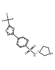 O=S(=O)(N[C@@H]1CCNC1)c1ccc(-c2noc(C(F)(F)F)n2)cc1